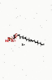 CC=CCC=CCC=CCCCCCCCCC1OCC(COP(=O)(O)O)O1.[K]